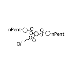 CCCCCC1CCC(C(=O)Oc2ccc(OC(=O)C3CCC(CCCCC)CC3)c(C(=O)OCCCCC3CO3)c2)CC1